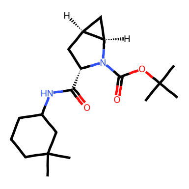 CC1(C)CCCC(NC(=O)[C@@H]2C[C@H]3C[C@H]3N2C(=O)OC(C)(C)C)C1